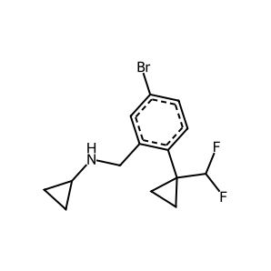 FC(F)C1(c2ccc(Br)cc2CNC2CC2)CC1